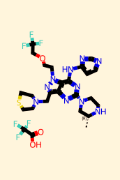 C[C@@H]1CN(c2nc(Nc3ccncn3)c3c(n2)c(CN2CCSCC2)nn3CCOCC(F)(F)F)CCN1.O=C(O)C(F)(F)F